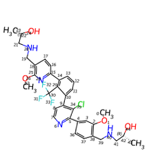 COc1cc(-c2nccc(-c3cccc(-c4ccc(CNC[C@H](C)O)c(OC)n4)c3C(F)(F)F)c2Cl)ccc1CNC[C@@H](C)O